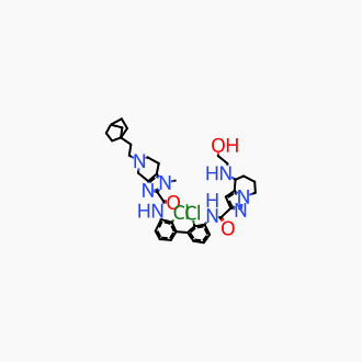 Cn1c(C(=O)Nc2cccc(-c3cccc(NC(=O)c4cc5n(n4)CCCC5NCCO)c3Cl)c2Cl)nc2c1CCN(CCC13CCC(CC1)C3)C2